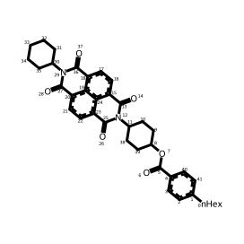 CCCCCCc1ccc(C(=O)OC2CCC(N3C(=O)c4ccc5c6c(ccc(c46)C3=O)C(=O)N(C3CCCCC3)C5=O)CC2)cc1